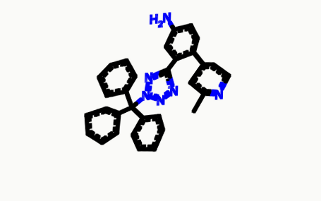 Cc1cc(-c2ccc(N)cc2-c2nnn(C(c3ccccc3)(c3ccccc3)c3ccccc3)n2)ccn1